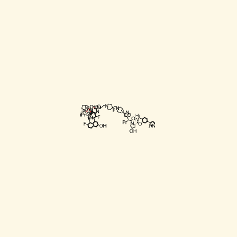 CC(C)[C@H](C(=O)N1C[C@H](O)C[C@H]1C(=O)N[C@@H](C)c1ccc(-c2ccnn2C)cc1)c1cc(N2CCN(CC3(F)CCN(CCOc4nc(N5CC6CCC(C5)N6C(=O)OC(C)(C)C)c5cnc(-c6cc(O)cc7ccc(F)c(C#C[Si](C(C)C)(C(C)C)C(C)C)c67)c(F)c5n4)CC3)CC2)no1